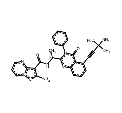 C[C@H](NC(=O)c1c(N)nn2cccnc12)c1nc2cccc(C#CC(C)(C)N)c2c(=O)n1-c1ccccc1